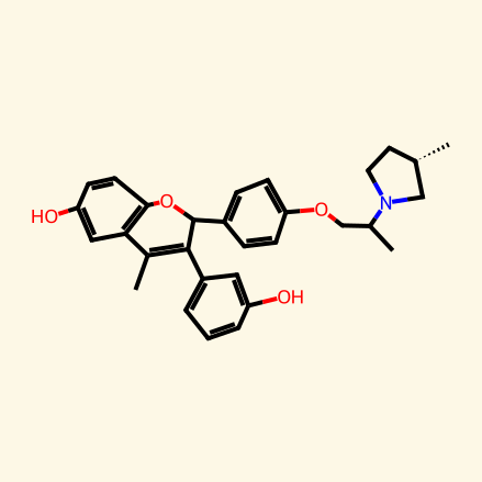 CC1=C(c2cccc(O)c2)C(c2ccc(OCC(C)N3CC[C@H](C)C3)cc2)Oc2ccc(O)cc21